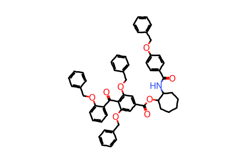 O=C(NC1CCCCCC1OC(=O)c1cc(OCc2ccccc2)c(C(=O)c2ccccc2OCc2ccccc2)c(OCc2ccccc2)c1)c1ccc(OCc2ccccc2)cc1